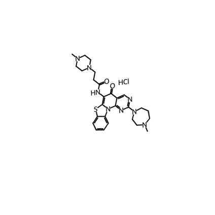 CN1CCN(CCC(=O)Nc2c(=O)c3cnc(N4CCCN(C)CC4)nc3n3c2sc2ccccc23)CC1.Cl